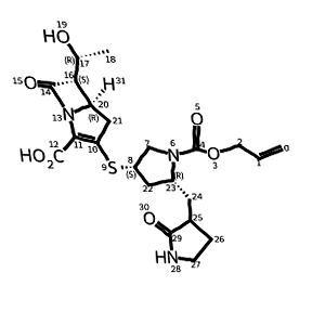 C=CCOC(=O)N1C[C@@H](SC2=C(C(=O)O)N3C(=O)[C@H]([C@@H](C)O)[C@H]3C2)C[C@H]1CC1CCNC1=O